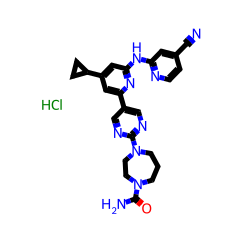 Cl.N#Cc1ccnc(Nc2cc(C3CC3)cc(-c3cnc(N4CCCN(C(N)=O)CC4)nc3)n2)c1